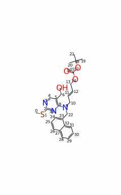 CSc1ncc(CO)c(N(CC=CCOC(=O)OC(C)(C)C)Cc2cccc3ccccc23)n1